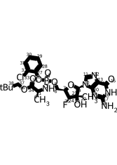 C[C@H](NP(=O)(OC[C@H]1O[C@@H](n2cnc3c(=O)[nH]c(N)nc32)[C@](C)(O)[C@@H]1F)Oc1ccccc1Cl)C(=O)OCC(C)(C)C